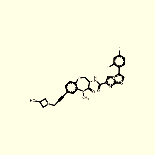 CN1C(=O)[C@@H](NC(=O)c2cn3c(-c4ccc(F)cc4F)csc3n2)COc2ccc(C#CCN3CC(O)C3)cc21